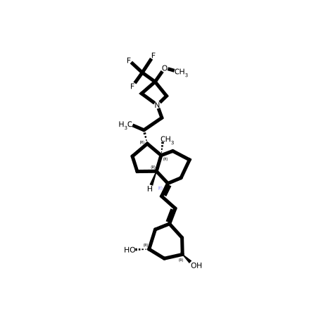 COC1(C(F)(F)F)CN(CC(C)[C@H]2CC[C@H]3/C(=C/C=C4C[C@@H](O)C[C@H](O)C4)CCC[C@]23C)C1